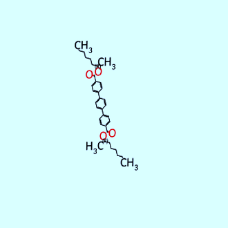 CCCCCC[C@@H](C)OC(=O)c1ccc(-c2ccc(-c3ccc(C(=O)O[C@H](C)CCCCCC)cc3)cc2)cc1